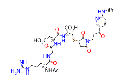 CC(=O)N[C@@H](CCCNC(=N)N)C(=O)NCC(=O)N[C@@H](CC(=O)O)C(=O)N[C@H](CSC1CC(=O)N(CCC(=O)c2ccc(NC(C)C)nc2)C1=O)C(=O)O